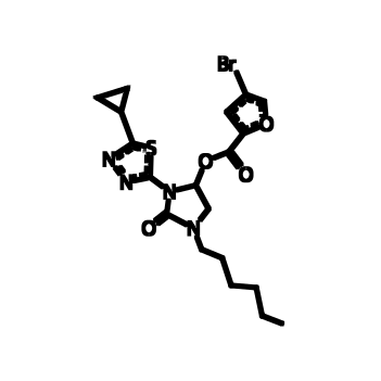 CCCCCCN1CC(OC(=O)c2cc(Br)co2)N(c2nnc(C3CC3)s2)C1=O